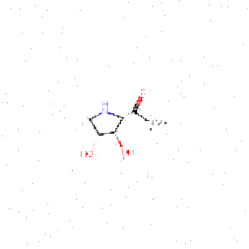 CNC(=O)[C@H]1NC[C@@H](O)[C@@H]1O